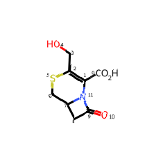 O=C(O)C1=C(CO)SCC2CC(=O)N12